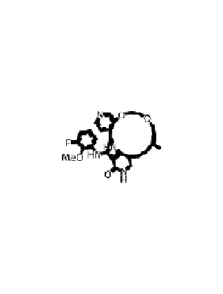 COc1c(F)cccc1Nc1c2[nH]c3c1C(=O)NCC3CC/C(C)=C\COCCOc1cnccc1-2